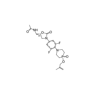 C=C(C)COP1(=O)CCN(c2c(F)cc(N3C[C@@H](CNC(C)=O)OC3=O)cc2F)CC1